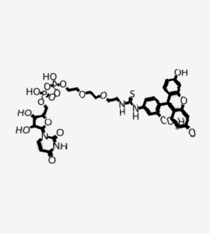 O=C(O)c1cc(NC(=S)NCCOCCOCCOP(=O)(O)OP(=O)(O)OCC2OC(n3ccc(=O)[nH]c3=O)C(O)C2O)ccc1-c1c2ccc(=O)cc-2oc2cc(O)ccc12